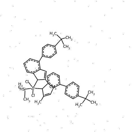 CC1=Cc2c(-c3ccc(C(C)(C)C)cc3)cccc2[CH]1[Zr]([Cl])([Cl])([CH]1C(C)=Cc2c(-c3ccc(C(C)(C)C)cc3)cccc21)[SiH](C)C